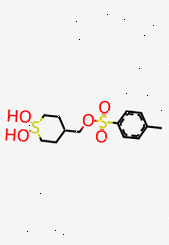 Cc1ccc(S(=O)(=O)OCC2CCS(O)(O)CC2)cc1